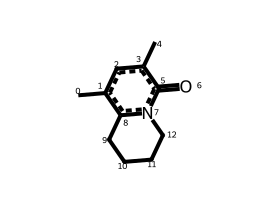 Cc1cc(C)c(=O)n2c1CCCC2